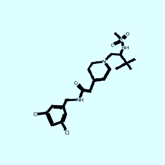 CC(C)(C)C(CN1CCC(CC(=O)NCc2cc(Cl)cc(Cl)c2)CC1)NS(C)(=O)=O